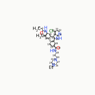 C=CC(=O)Nc1cc(-c2c(-c3cccc(C(=O)NCCCN4CCN(CC)CC4)c3)[nH]c3nccc(Cl)c23)ccc1C